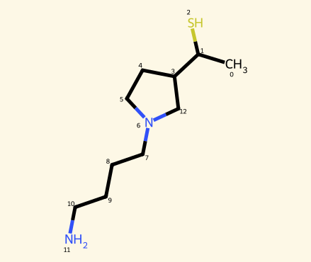 CC(S)C1CCN(CCCCN)C1